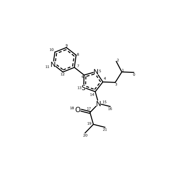 CC(C)Cc1nc(-c2cccnc2)sc1N(C)C(=O)C(C)C